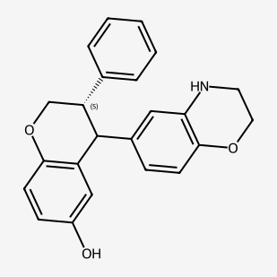 Oc1ccc2c(c1)C(c1ccc3c(c1)NCCO3)[C@@H](c1ccccc1)CO2